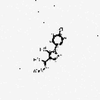 CNN=C(C)c1csc(-c2ccc(Cl)cc2)c1O